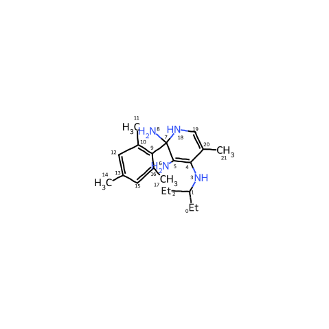 CCC(CC)NC1=C(N)C(N)(c2c(C)cc(C)cc2C)NC=C1C